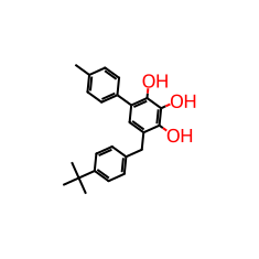 Cc1ccc(-c2cc(Cc3ccc(C(C)(C)C)cc3)c(O)c(O)c2O)cc1